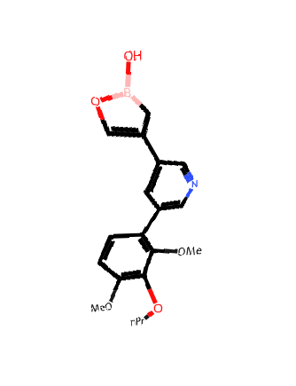 CCCOc1c(OC)ccc(-c2cncc(C3=COB(O)C3)c2)c1OC